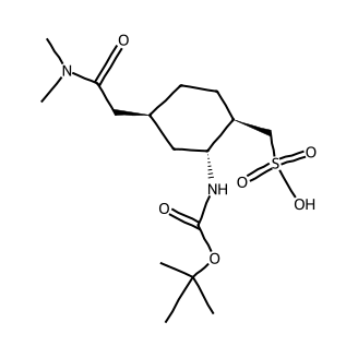 CN(C)C(=O)C[C@H]1CC[C@@H](CS(=O)(=O)O)[C@H](NC(=O)OC(C)(C)C)C1